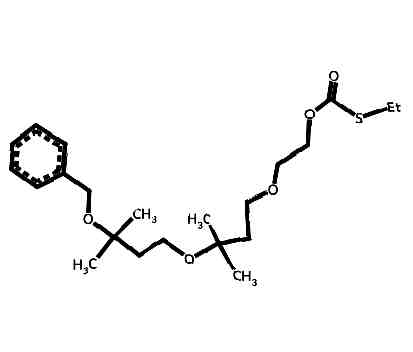 CCSC(=O)OCCOCCC(C)(C)OCCC(C)(C)OCc1ccccc1